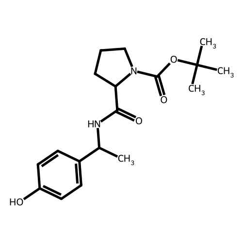 CC(NC(=O)C1CCCN1C(=O)OC(C)(C)C)c1ccc(O)cc1